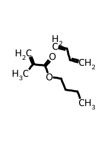 C=C(C)C(=O)OCCCC.C=CC=C